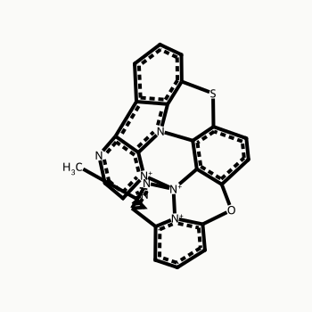 Cc1cc2n(n1)[N+]13c4c(ccc5c4-n4c6c(cccc6c6ncc[n+]1c64)S5)Oc1cccc-2[n+]13